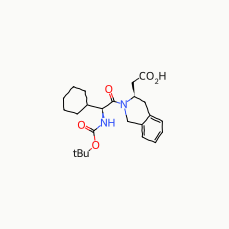 CC(C)(C)OC(=O)N[C@H](C(=O)N1Cc2ccccc2C[C@@H]1CC(=O)O)C1CCCCC1